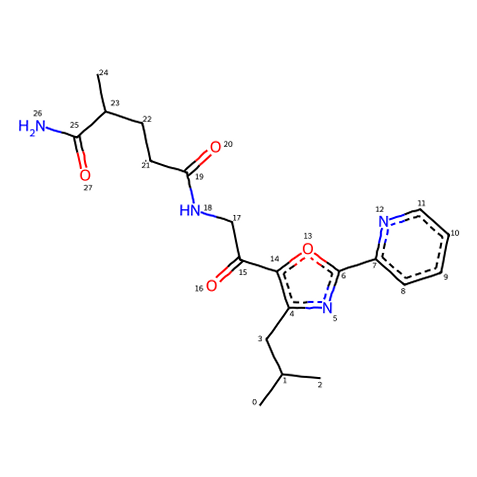 CC(C)Cc1nc(-c2ccccn2)oc1C(=O)CNC(=O)[CH]CC(C)C(N)=O